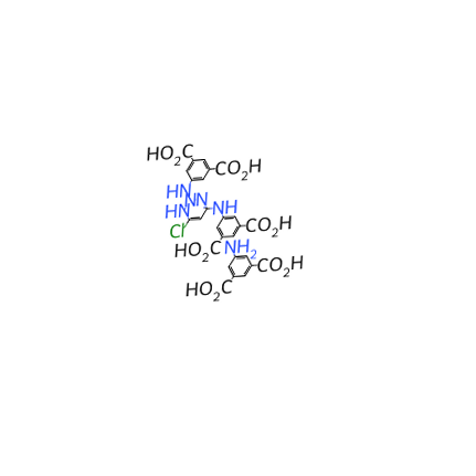 Nc1cc(C(=O)O)cc(C(=O)O)c1.O=C(O)c1cc(NC2=NN(Nc3cc(C(=O)O)cc(C(=O)O)c3)NC(Cl)=C2)cc(C(=O)O)c1